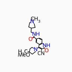 COC1(C)CCN(c2c(C#N)c(=O)[nH]c3ccc(C(=O)NCC4CCN(C)CC4)cc23)CC1